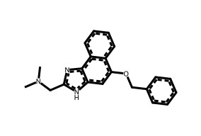 CN(C)Cc1nc2c(cc(OCc3ccccc3)c3ccccc32)[nH]1